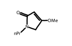 CCCN1CC(OC)=CC1=O